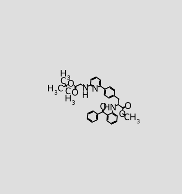 COC(=O)[C@H](Cc1ccc(-c2cccc(NCC(=O)OC(C)(C)C)n2)cc1)Nc1ccccc1C(=O)c1ccccc1